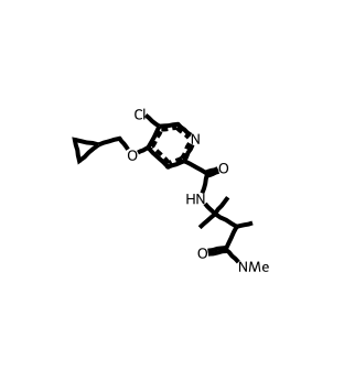 CNC(=O)C(C)C(C)(C)NC(=O)c1cc(OCC2CC2)c(Cl)cn1